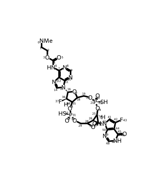 CNCCOC(=O)Nc1ncnc2c1ncn2[C@@H]1OC2CO[P@@](=O)(S)O[C@@H]3[C@H](O)C(CO[P@@](=O)(S)O[C@H]2[C@H]1F)O[C@H]3n1cc(F)c2c(=O)[nH]cnc21